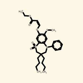 CCCCC1(CCCC)CN(c2ccccc2)c2cc(SC)c(O/C=C\C(=O)OCC)cc2S(=O)(=O)C1